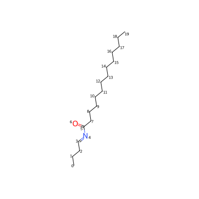 CCCC=NC(=O)CCCCCCCCCCCCC